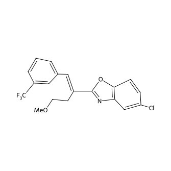 COCC/C(=C\c1cccc(C(F)(F)F)c1)c1nc2cc(Cl)ccc2o1